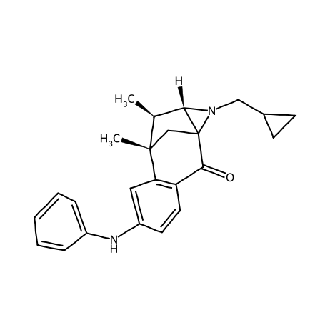 C[C@H]1[C@@H]2N(CC3CC3)C23C[C@]1(C)c1cc(Nc2ccccc2)ccc1C3=O